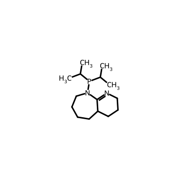 CC(C)P(C(C)C)N1CCCCC2CCCN=C21